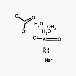 O.O.O.O=[Si]([O-])[O-].[Na+].[Na+].[Na+].[O]=[Al][O-]